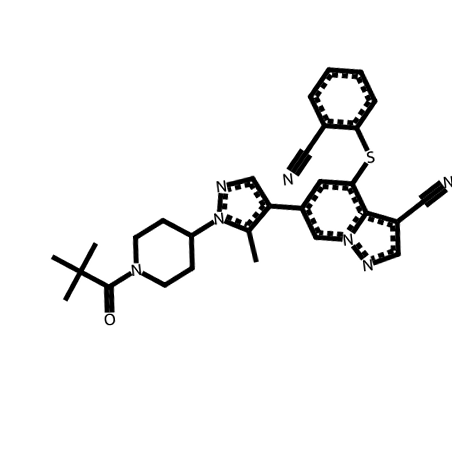 Cc1c(-c2cc(Sc3ccccc3C#N)c3c(C#N)cnn3c2)cnn1C1CCN(C(=O)C(C)(C)C)CC1